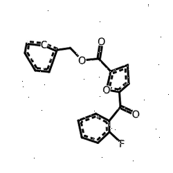 O=C(OCc1ccccc1)c1ccc(C(=O)c2ccccc2F)o1